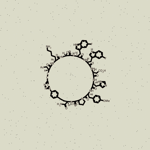 COc1ccc(C[C@@H]2NC(=O)[C@H](Cc3cnc[nH]3)NC(=O)[C@H](CC(=O)O)NC(=O)[C@H](Cc3c[nH]c4ccc(F)cc34)NC(=O)[C@H](Cc3c[nH]c4ccc(F)cc34)NC(=O)[C@@H](C)NC(=O)[C@H](CCCCN)NC(=O)[C@@H](CC(C)=O)CCc3cn(nn3)-c3ccc(cc3)C[C@@H](C(N)=O)NC(=O)[C@]3(C)CCCN3C2=O)cc1